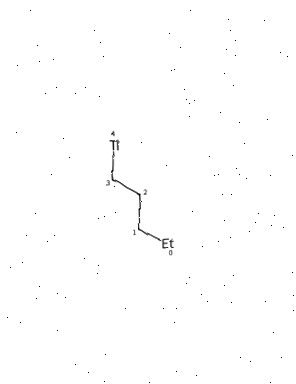 CCCC[CH2][Tl]